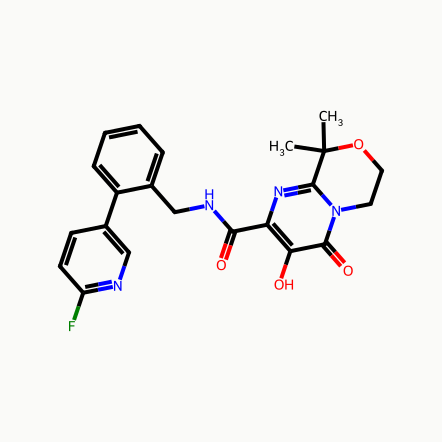 CC1(C)OCCn2c1nc(C(=O)NCc1ccccc1-c1ccc(F)nc1)c(O)c2=O